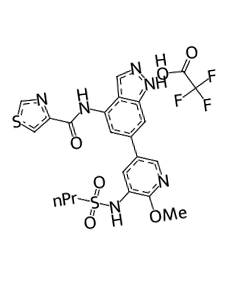 CCCS(=O)(=O)Nc1cc(-c2cc(NC(=O)c3cscn3)c3cn[nH]c3c2)cnc1OC.O=C(O)C(F)(F)F